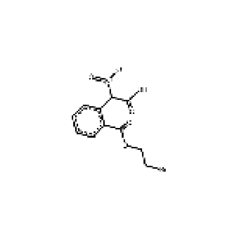 O=C(OCCBr)c1ccccc1C(C(=O)O)[N+](=O)[O-]